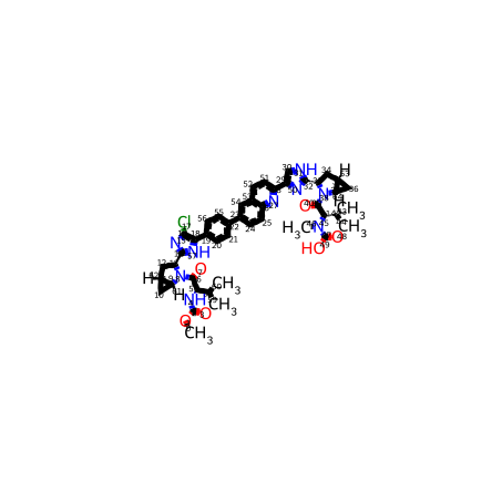 COC(=O)N[C@H](C(=O)N1[C@@H]2C[C@@H]2C[C@H]1c1nc(Cl)c(-c2ccc(-c3ccc4nc(-c5c[nH]c([C@@H]6C[C@H]7C[C@H]7N6C(=O)[C@H](C(C)C)N(C)C(=O)O)n5)ccc4c3)cc2)[nH]1)C(C)C